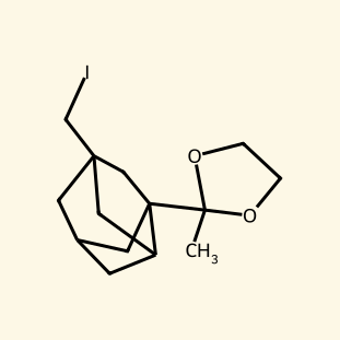 CC1(C23CC4CC2CC(CI)(C4)C3)OCCO1